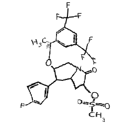 C[C@@H](OC1CN2C(=O)C(OS(C)(=O)=O)CC2C1c1ccc(F)cc1)c1cc(C(F)(F)F)cc(C(F)(F)F)c1